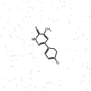 Cc1cc(C2=CC=C(Cl)CC2)n[nH]c1=S